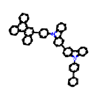 c1ccc(-c2ccc(-n3c4ccccc4c4cc(-c5ccc6c(c5)c5ccccc5n6-c5ccc(-c6cc7c8ccccc8c8ccccc8c7c7ccccc67)cc5)ccc43)cc2)cc1